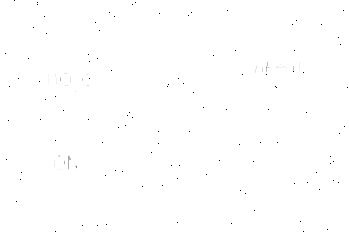 CCCCCCCCC(N=O)C(=O)O